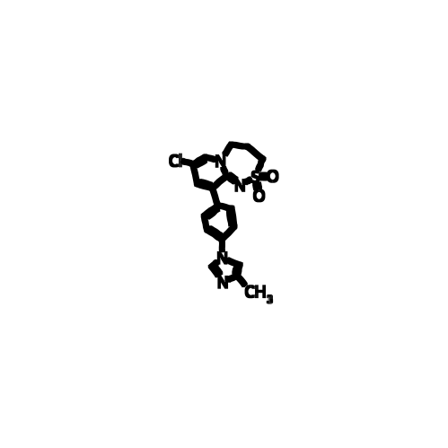 Cc1cn(-c2ccc(C3=CC(Cl)=CN4CCCS(=O)(=O)N=C34)cc2)cn1